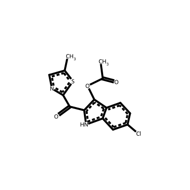 CC(=O)Oc1c(C(=O)c2ncc(C)s2)[nH]c2cc(Cl)ccc12